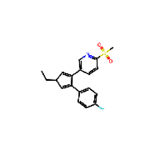 CCC1C=C(c2ccc(F)cc2)C(c2ccc(S(C)(=O)=O)nc2)=C1